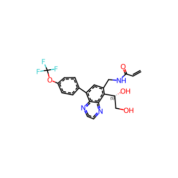 C=CC(=O)NCc1cc(-c2ccc(OC(F)(F)F)cc2)c2nccnc2c1[C@H](O)CO